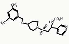 Cc1cc(C)cc(COC2CCN(S(=O)(=O)CC(NC(=O)O)c3cccnc3)CC2)c1